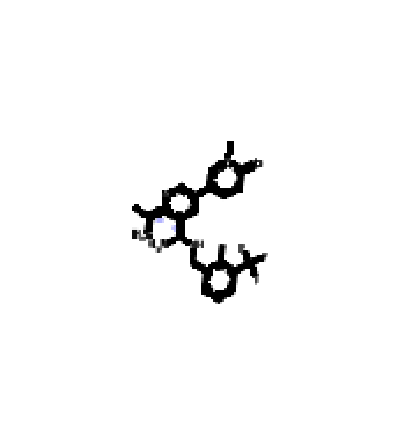 C/C(N)=c1\ncc(-c2ccc(=O)n(C)c2)c\c1=C(\N)NCc1cccc(C(F)(F)F)c1C